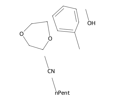 C1COCCO1.CC#N.CCCCCC.CO.Cc1ccccc1